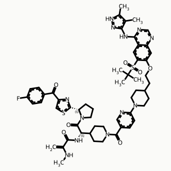 C=C(NC)C(=O)N[C@H](C(=O)N1CCC[C@H]1c1nc(C(=O)c2ccc(F)cc2)cs1)C1CCN(C(=O)c2ccc(N3CCC(CCOc4cc5ncnc(Nc6n[nH]c(C)c6C)c5cc4S(=O)(=O)C(C)(C)C)CC3)nc2)CC1